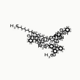 CCCCCCCCCCCCCCCCCN(C[C@H]1[CH][C@@H](OC)[C@H](n2ccc(NC(=O)c3ccccc3)nc2=O)O1)C(=O)C[C@H]1[C@@H](OC)[C@H](n2cnc3c(NC(=O)c4ccccc4)ncnc32)O[C@@H]1COC(c1ccccc1)(c1ccc(OC)cc1)c1ccc(OC)cc1